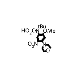 COc1cc(N2CCOCC2)c([N+](=O)[O-])cc1N(C(=O)O)C(C)(C)C